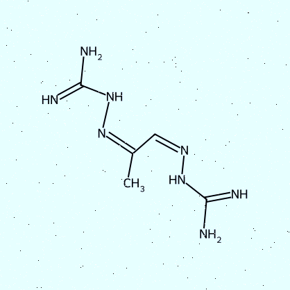 CC(/C=N\NC(=N)N)=N/NC(=N)N